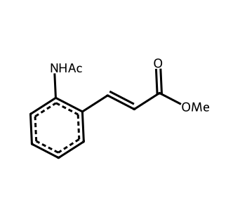 COC(=O)C=Cc1ccccc1NC(C)=O